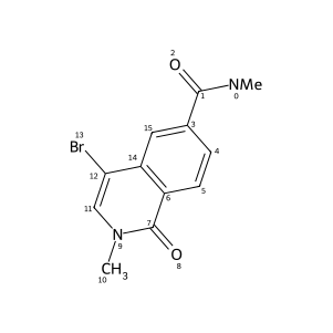 CNC(=O)c1ccc2c(=O)n(C)cc(Br)c2c1